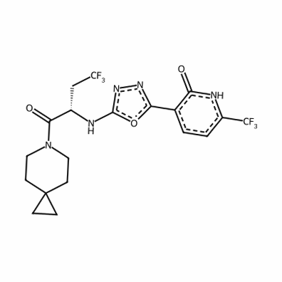 O=C([C@H](CC(F)(F)F)Nc1nnc(-c2ccc(C(F)(F)F)[nH]c2=O)o1)N1CCC2(CC1)CC2